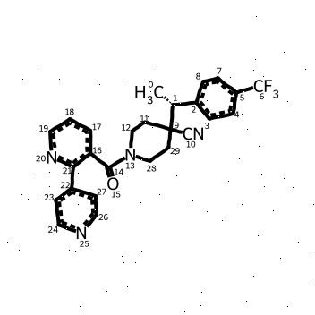 C[C@H](c1ccc(C(F)(F)F)cc1)C1(C#N)CCN(C(=O)c2cccnc2-c2ccncc2)CC1